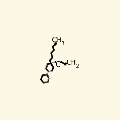 C=CCOC[C@]1(CCCCCCC)CC[C@H](C2CCCCC2)CC1